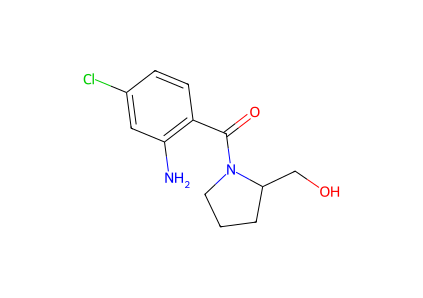 Nc1cc(Cl)ccc1C(=O)N1CCCC1CO